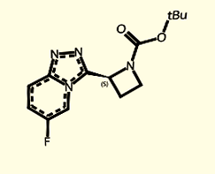 CC(C)(C)OC(=O)N1CC[C@H]1c1nnc2ccc(F)cn12